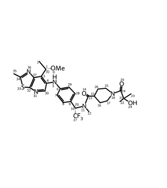 CO[C@@H](C)c1c(Nc2ccc([C@H](N(C)C(=O)C3CCN(C(=O)C(C)(C)O)CC3)C(F)(F)F)cc2)cnc2sc(C)nc12